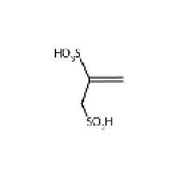 C=C(CS(=O)(=O)O)S(=O)(=O)O